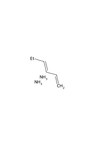 C=CC=CCC.N.N